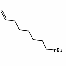 [C]=CCCCCCCCCCC